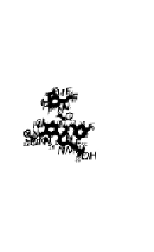 CNc1cc(-c2ccc(Cl)c3c(NS(C)(=O)=O)nn(C)c23)c([C@H](Cc2cc(F)cc(F)c2)NC(=O)Cn2nc(C(F)F)c3c2C(F)(F)[C@@H]2CC[C@H]32)nc1C#CC(C)(C)O